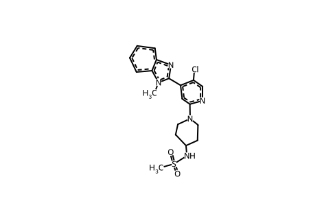 Cn1c(-c2cc(N3CCC(NS(C)(=O)=O)CC3)ncc2Cl)nc2ccccc21